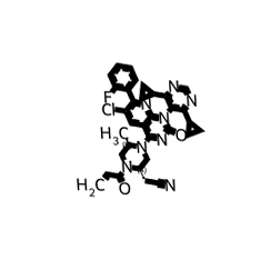 C=CC(=O)N1C[C@H](C)N(c2nc(=O)n(-c3c(C4CC4)ncnc3C3CC3)c3nc(-c4ccccc4F)c(Cl)cc23)C[C@@H]1CC#N